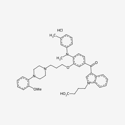 COc1ccccc1N1CCN(CCCOc2cc(C(=O)c3cn(CCCC(=O)O)c4ccccc34)ccc2N(C)c2cccc(C)c2)CC1.Cl